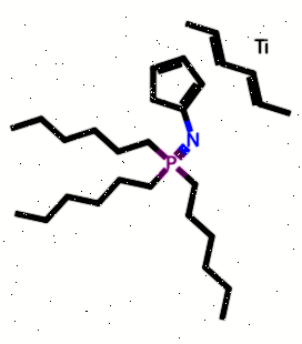 CC=CC=CC.CCCCCCP(CCCCCC)(CCCCCC)=NC1=CC=CC1.[Ti]